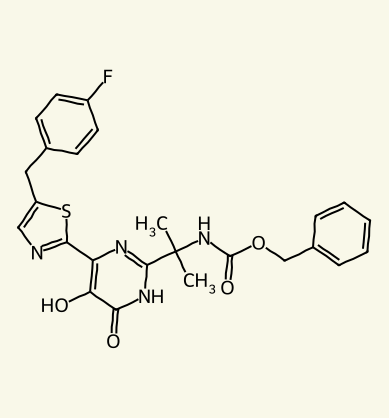 CC(C)(NC(=O)OCc1ccccc1)c1nc(-c2ncc(Cc3ccc(F)cc3)s2)c(O)c(=O)[nH]1